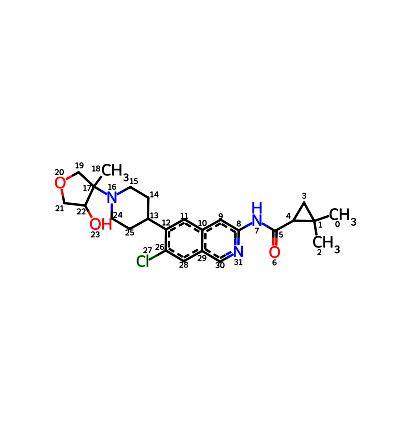 CC1(C)CC1C(=O)Nc1cc2cc(C3CCN(C4(C)COCC4O)CC3)c(Cl)cc2cn1